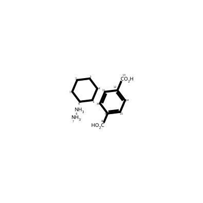 C1CCCCC1.N.N.O=C(O)c1ccc(C(=O)O)cc1